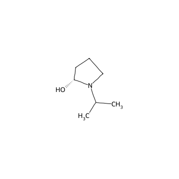 CC(C)N1CCC[C@H]1O